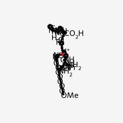 COCCOCCOCCOCCOCCOCCOCCOCCn1cc(COCc2cc(NC(=O)[C@H](CCCNC(N)=O)NC(=O)[C@@H](N)C(C)C)ccc2C[N+](C)(C)CC#Cc2ccc(OCCCc3sc(N4CCCc5c4nnc(Nc4nc6ccccc6s4)c5C)nc3C(=O)O)c(F)c2)nn1